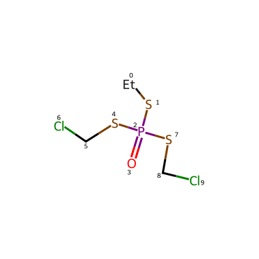 CCSP(=O)(SCCl)SCCl